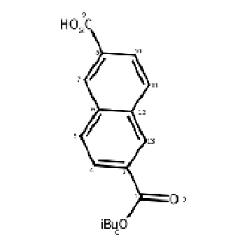 CC(C)COC(=O)c1ccc2cc(C(=O)O)ccc2c1